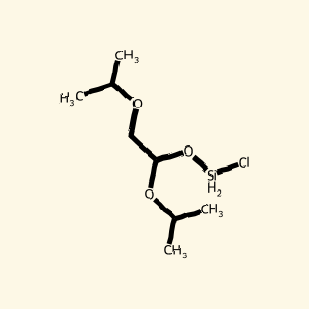 CC(C)OCC(O[SiH2]Cl)OC(C)C